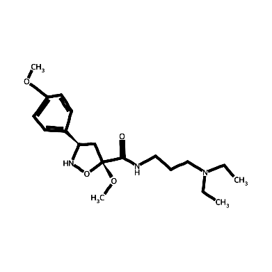 CCN(CC)CCCNC(=O)[C@@]1(OC)C[C@H](c2ccc(OC)cc2)NO1